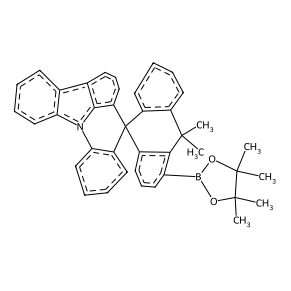 CC1(C)c2ccccc2C2(c3ccccc3-n3c4ccccc4c4cccc2c43)c2cccc(B3OC(C)(C)C(C)(C)O3)c21